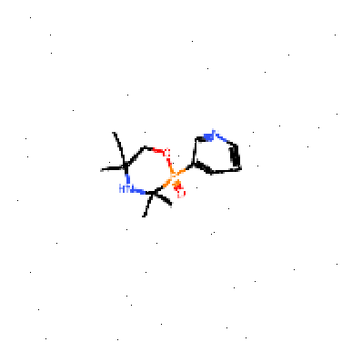 CC1(C)COP(=O)(c2cccnc2)C(C)(C)N1